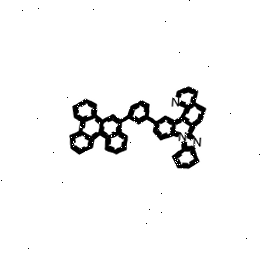 c1cc(-c2ccc3c(c2)c2c(ccc4cccnc42)c2nc4ccccc4n32)cc(-c2cc3c4ccccc4c4ccccc4c3c3ccccc23)c1